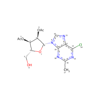 CC(=O)O[C@@H]1[C@H](OC(C)=O)[C@@H](CO)O[C@H]1n1cnc2c(Cl)nc(C)nc21